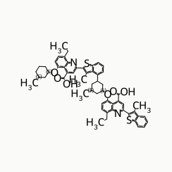 CCc1ccc(O[C@@H]2CC(c3cccc4sc(-c5cc(C(=O)O)c6c(O[C@H]7CCC[C@H](C)C7)ccc(CC)c6n5)c(C)c34)C[C@H](C)C2)c2c(C(=O)O)cc(-c3sc4ccccc4c3C)nc12